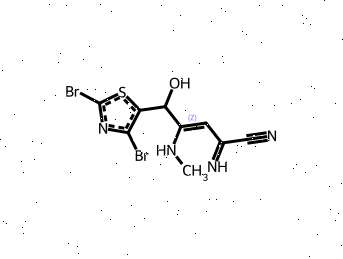 CN/C(=C\C(=N)C#N)C(O)c1sc(Br)nc1Br